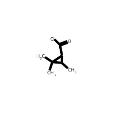 CC1C(C(=O)Cl)C1(C)C